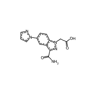 NC(=O)c1nn(CC(=O)O)c2ccc(-n3cccn3)cc12